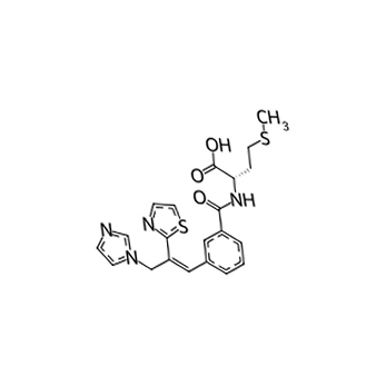 CSCC[C@H](NC(=O)c1cccc(C=C(Cn2ccnc2)c2nccs2)c1)C(=O)O